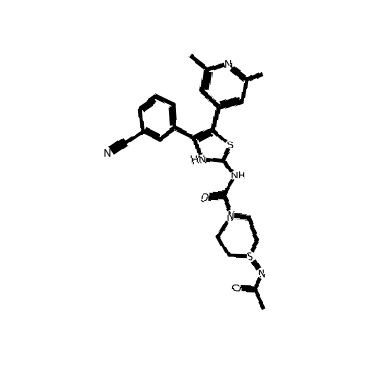 CC(=O)N=S1CCN(C(=O)NC2NC(c3cccc(C#N)c3)=C(c3cc(C)nc(C)c3)S2)CC1